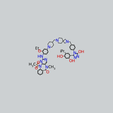 CCOc1cc(N2CCC(CN3CCC4(CC3)CN(Cc3ccc(-n5c(O)nnc5-c5cc(C(C)C)c(O)cc5O)cc3)C4)CC2)ccc1Nc1ncc2c(n1)N(S(C)(=O)=O)c1ccccc1C(=O)N2C